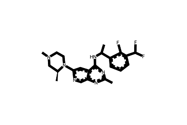 Cc1nc(NC(C)c2cccc(C(F)F)c2F)c2cc(N3CCN(C)C[C@@H]3C)ncc2n1